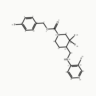 O=C(OCc1ccc(F)cc1)N1CCC(CNc2ccncc2F)C(F)(F)C1